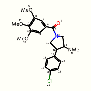 CNC1CN(C(=O)c2cc(OC)c(OC)c(OC)c2)CC1c1ccc(Cl)cc1